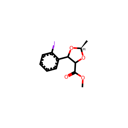 COC(=O)C1O[C@H](C)OC1c1ccccc1I